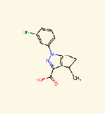 CC1CCc2c1c(C(=O)O)nn2-c1cccc(Br)c1